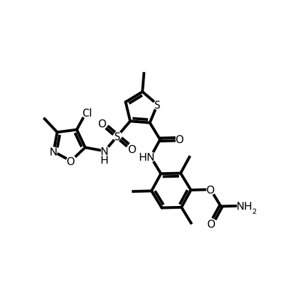 Cc1cc(S(=O)(=O)Nc2onc(C)c2Cl)c(C(=O)Nc2c(C)cc(C)c(OC(N)=O)c2C)s1